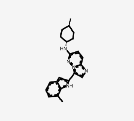 Cc1cccc2cc(-c3cnc4ccc(N[C@H]5CC[C@H](C)CC5)nn34)[nH]c12